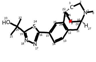 CN1CC[C@@]23CCCCC2[C@@H]1Cc1ccc(-c2nnc(C(C)(C)O)s2)cc13